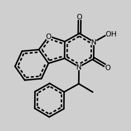 CC(c1ccccc1)n1c(=O)n(O)c(=O)c2oc3ccccc3c21